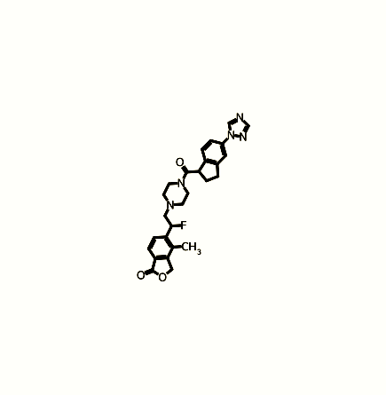 Cc1c(C(F)CN2CCN(C(=O)C3CCc4cc(-n5cncn5)ccc43)CC2)ccc2c1COC2=O